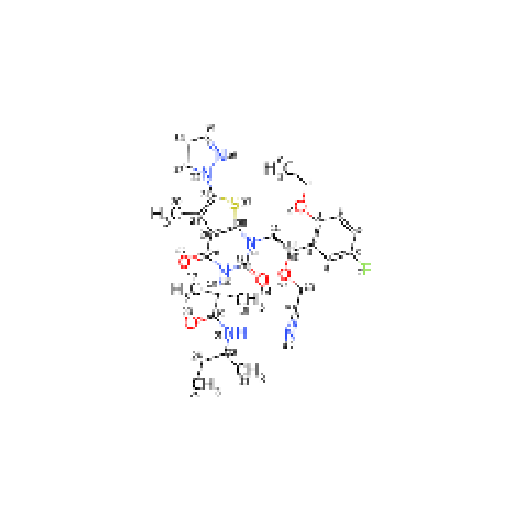 CCOc1ccc(F)cc1[C@H](Cn1c(=O)n(C(C)(C)C(=O)NC(C)CC)c(=O)c2c(C)c(-n3cccn3)sc21)OCC#N